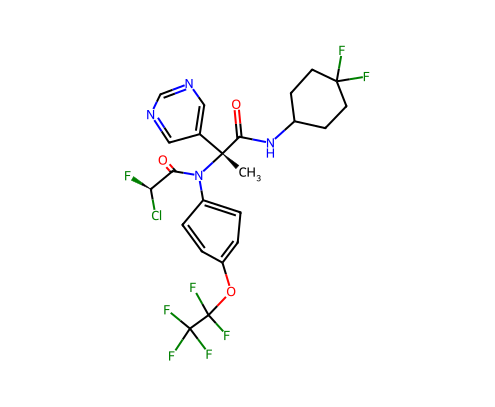 C[C@](C(=O)NC1CCC(F)(F)CC1)(c1cncnc1)N(C(=O)[C@H](F)Cl)c1ccc(OC(F)(F)C(F)(F)F)cc1